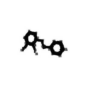 Fc1cccc(COc2c[c]ccc2)c1F